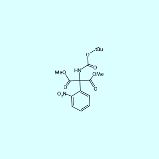 COC(=O)C(NC(=O)OC(C)(C)C)(C(=O)OC)c1ccccc1[N+](=O)[O-]